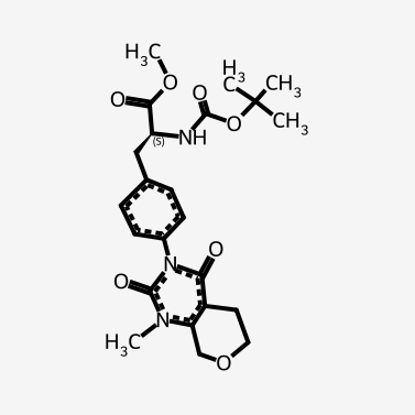 COC(=O)[C@H](Cc1ccc(-n2c(=O)c3c(n(C)c2=O)COCC3)cc1)NC(=O)OC(C)(C)C